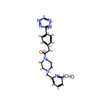 O=Cc1cccc(CN2CCN(C(=O)Cc3ccc(-c4nncnn4)cc3)CC2)n1